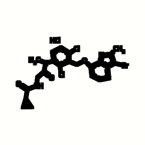 Cc1nc2c(OCc3c(Cl)ccc(N(C)C(=O)CNC(=O)C4CC4)c3Cl)cccn2c1Br.Cl